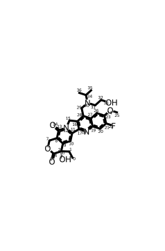 CC[C@@]1(O)C(=O)OCc2c1cc1n(c2=O)Cc2c-1nc1cc(F)c(OC)cc1c2CN(CCO)C(C)C